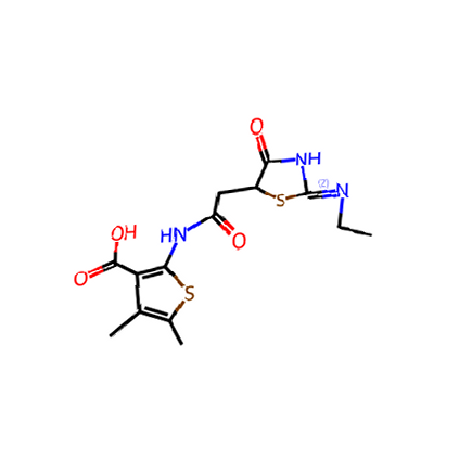 CC/N=C1/NC(=O)C(CC(=O)Nc2sc(C)c(C)c2C(=O)O)S1